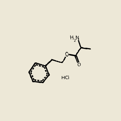 CC(N)C(=O)OCCc1ccccc1.Cl